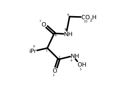 CC(C)C(C(=O)NO)C(=O)NCC(=O)O